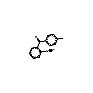 [C-]#[N+]c1ccccc1C(=O)c1ccc(C)cc1